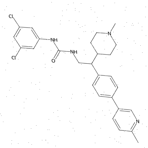 Cc1ccc(-c2ccc(C(CNC(=O)Nc3cc(Cl)cc(Cl)c3)C3CCN(C)CC3)cc2)cn1